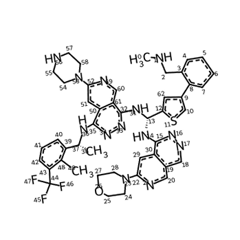 CNCc1ccccc1-c1csc([C@H](Nc2nncc3cnc(N4CCOCC4)cc23)Nc2nnc(N[C@H](C)c3cccc(C(F)(F)F)c3C)c3cc(N4CCNCC4)ncc23)c1